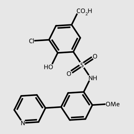 COc1ccc(-c2cccnc2)cc1NS(=O)(=O)c1cc(C(=O)O)cc(Cl)c1O